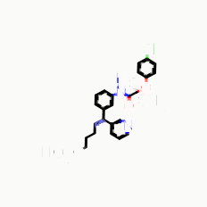 CC(C)(Oc1ccc(Cl)cc1)C(=O)Nc1cccc(/C(=C/CCCC(=O)O)c2cccnc2)c1